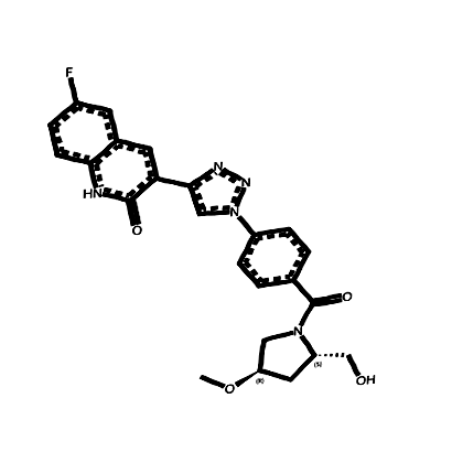 CO[C@@H]1C[C@@H](CO)N(C(=O)c2ccc(-n3cc(-c4cc5cc(F)ccc5[nH]c4=O)nn3)cc2)C1